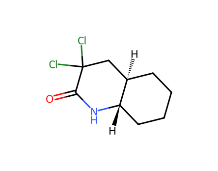 O=C1N[C@H]2CCCC[C@@H]2CC1(Cl)Cl